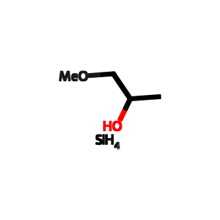 COCC(C)O.[SiH4]